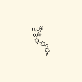 C[N+]1(CCNC(=O)c2ccnc(-c3ccc(Oc4ccc(F)cc4)cc3)c2)CCCC1